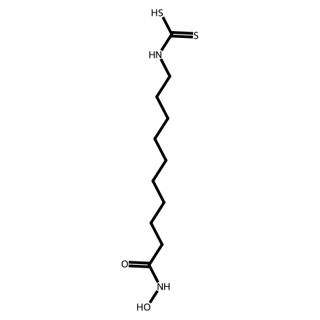 O=C(CCCCCCCCCNC(=S)S)NO